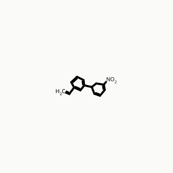 C=Cc1cccc(C2C=CC=C([N+](=O)[O-])C2)c1